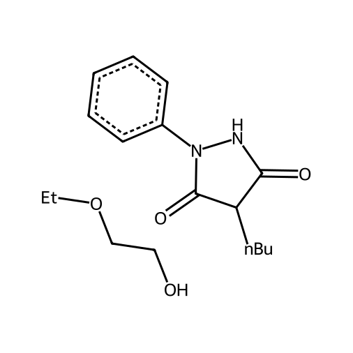 CCCCC1C(=O)NN(c2ccccc2)C1=O.CCOCCO